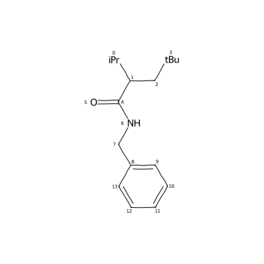 CC(C)C(CC(C)(C)C)C(=O)NCc1ccccc1